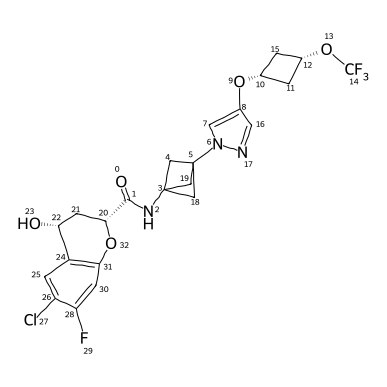 O=C(NC12CC(n3cc(O[C@H]4C[C@@H](OC(F)(F)F)C4)cn3)(C1)C2)[C@H]1C[C@@H](O)c2cc(Cl)c(F)cc2O1